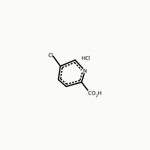 Cl.O=C(O)c1ccc(Cl)cn1